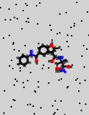 Cc1oc2ccc(C(=O)Nc3ccccc3)cc2c1C(=O)N[C@@](C)(CO)C(N)=O